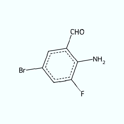 Nc1c(F)cc(Br)cc1C=O